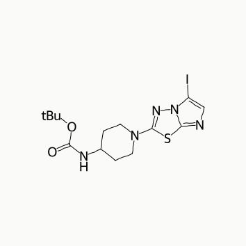 CC(C)(C)OC(=O)NC1CCN(c2nn3c(I)cnc3s2)CC1